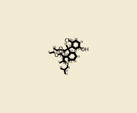 CCOC(=O)c1c(C)n(CC(C)C)c2cccc(C(C)(C(=O)OCC)c3cc(O)ccc3Cl)c12